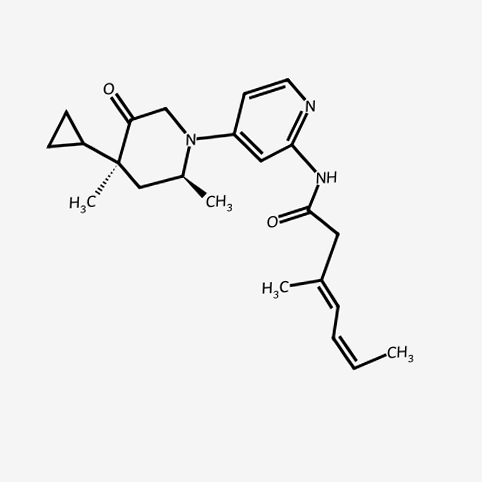 C/C=C\C=C(/C)CC(=O)Nc1cc(N2CC(=O)[C@](C)(C3CC3)C[C@@H]2C)ccn1